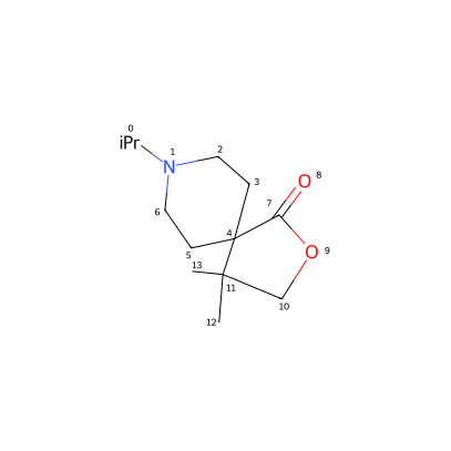 CC(C)N1CCC2(CC1)C(=O)OCC2(C)C